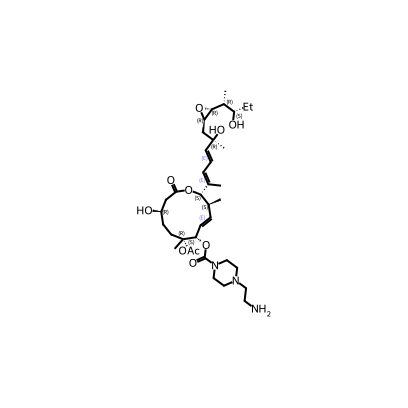 CC[C@H](O)[C@@H](C)[C@H]1O[C@@H]1C[C@@](C)(O)/C=C/C=C(\C)[C@H]1OC(=O)C[C@H](O)CC[C@@](C)(OC(C)=O)[C@@H](OC(=O)N2CCN(CCN)CC2)/C=C/[C@@H]1C